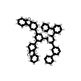 c1ccc(-c2cccc(-c3cc(-c4ccccc4-c4cccnc4)nc(-c4cc(-c5ccc6oc7ccccc7c6c5)cc(-c5ccc6oc7ccccc7c6c5)c4)n3)c2)cc1